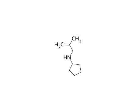 C=C(C)CNC1CCCC1